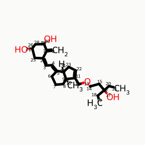 C=C1C(=CC=C2CCC[C@]3(C)C(COCCC(O)(CC)CC)=CC[C@@H]23)C[C@@H](O)C[C@@H]1O